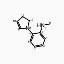 CNc1ccccc1N1C=CCC1